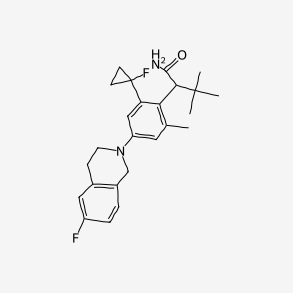 Cc1cc(N2CCc3cc(F)ccc3C2)cc(C2(F)CC2)c1C(C(N)=O)C(C)(C)C